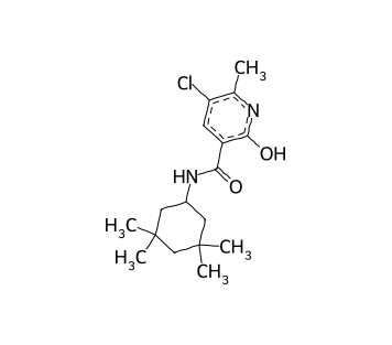 Cc1nc(O)c(C(=O)NC2CC(C)(C)CC(C)(C)C2)cc1Cl